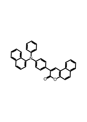 O=c1oc2ccc3ccccc3c2cc1-c1ccc(N(c2ccccc2)c2cccc3ccccc23)cc1